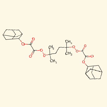 CC(C)(CCC(C)(C)OOC(=O)C(=O)OC1C2CC3CC(C2)CC1C3)OOC(=O)C(=O)OC1C2CC3CC(C2)CC1C3